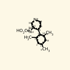 Cc1cc(C)c(-c2ccncc2NC(=O)O)c(C)c1